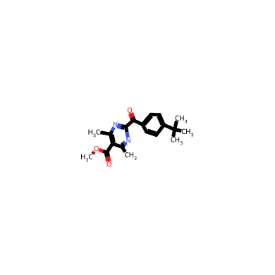 COC(=O)c1c(C)nc(C(=O)c2ccc(C(C)(C)C)cc2)nc1C